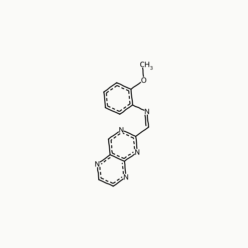 COc1ccccc1/N=C\c1ncc2nccnc2n1